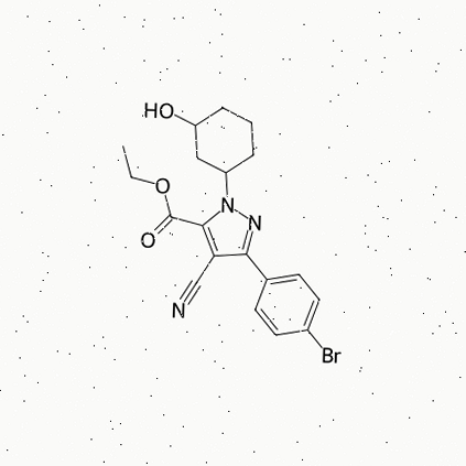 CCOC(=O)c1c(C#N)c(-c2ccc(Br)cc2)nn1C1CCCC(O)C1